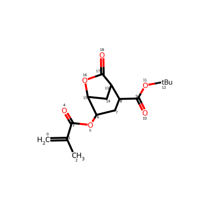 C=C(C)C(=O)OC1CC(C(=O)OC(C)(C)C)C2CC1OC2=O